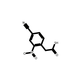 N#Cc1ccc(CC(=O)S)c([N+](=O)[O-])c1